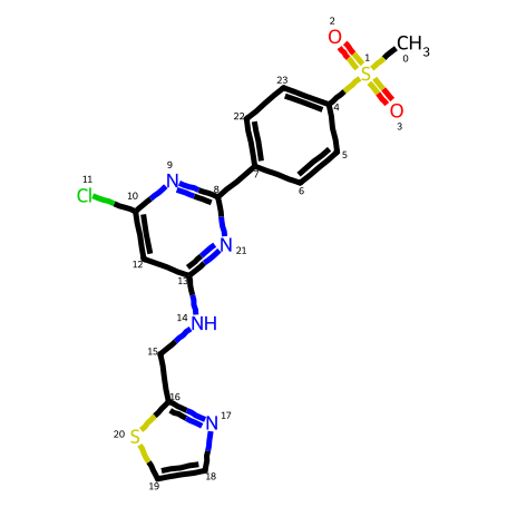 CS(=O)(=O)c1ccc(-c2nc(Cl)cc(NCc3nccs3)n2)cc1